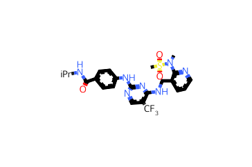 CC(C)NC(=O)c1ccc(Nc2ncc(C(F)(F)F)c(NCc3cccnc3N(C)S(C)(=O)=O)n2)cc1